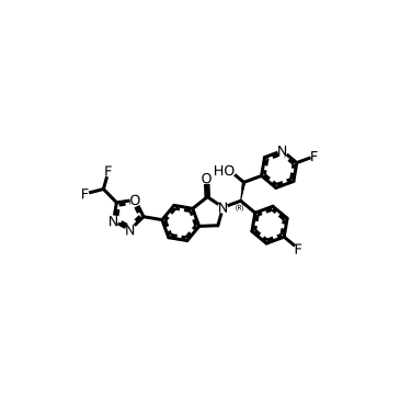 O=C1c2cc(-c3nnc(C(F)F)o3)ccc2CN1[C@H](c1ccc(F)cc1)C(O)c1ccc(F)nc1